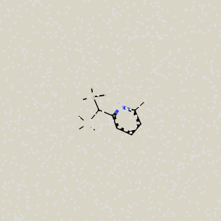 CC(C)(C)c1cccc(C([Si](C)(C)C)[Si](C)(C)C)n1